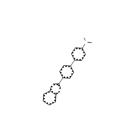 OB(O)c1ccc(-c2ccc(-c3nc4ccccc4o3)cc2)cc1